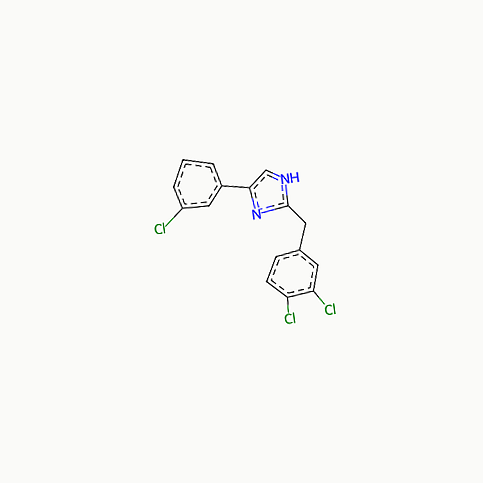 Clc1cccc(-c2c[nH]c(Cc3ccc(Cl)c(Cl)c3)n2)c1